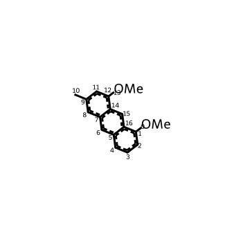 COc1cccc2cc3cc(C)cc(OC)c3cc12